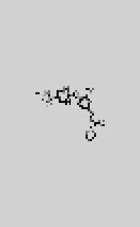 COc1cc(CCC(=O)N2CCCC2)ccc1Oc1ncc(C(N)=O)cn1